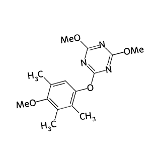 COc1nc(OC)nc(Oc2cc(C)c(OC)c(C)c2C)n1